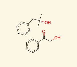 CC(C)(O)Cc1ccccc1.O=C(CO)c1ccccc1